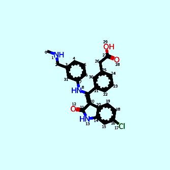 CNCc1cccc(N/C(=C2\C(=O)Nc3cc(Cl)ccc32)c2cccc(CC(=O)O)c2)c1